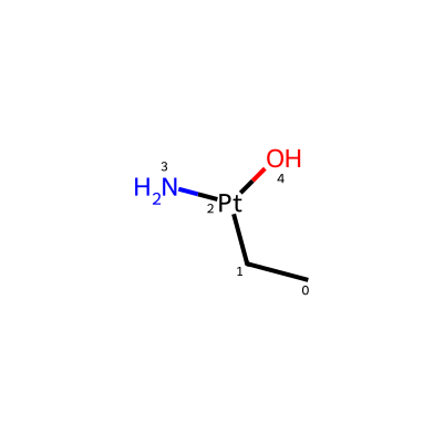 C[CH2][Pt]([NH2])[OH]